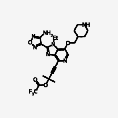 CCn1c(-c2nonc2N)nc2c(C#CC(C)(C)OC(=O)C(F)(F)F)ncc(OCC3CCNCC3)c21